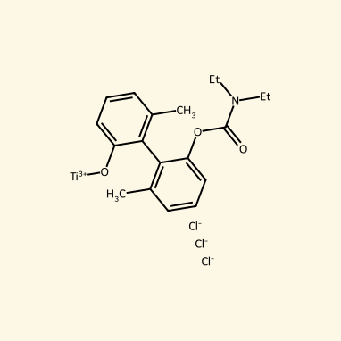 CCN(CC)C(=O)Oc1cccc(C)c1-c1c(C)cccc1[O][Ti+3].[Cl-].[Cl-].[Cl-]